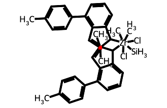 CC1=Cc2c(-c3ccc(C)cc3)cccc2[CH]1[Zr]([CH3])([CH3])([SiH3])([Cl])([Cl])[CH]1C(C)=Cc2c(-c3ccc(C)cc3)cccc21